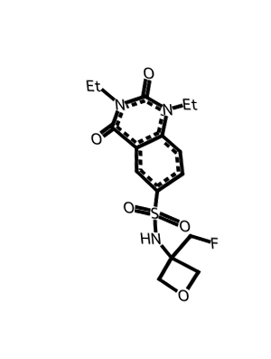 CCn1c(=O)c2cc(S(=O)(=O)NC3(CF)COC3)ccc2n(CC)c1=O